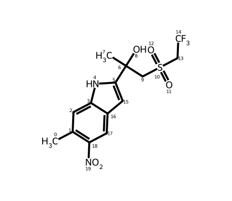 Cc1cc2[nH]c(C(C)(O)CS(=O)(=O)CC(F)(F)F)cc2cc1[N+](=O)[O-]